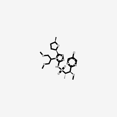 COCC(COC)n1c(NS(=O)(=O)[C@@H](C)[C@H](OC)c2ncc(Cl)cn2)nnc1[C@H]1CC[C@@H](C)O1